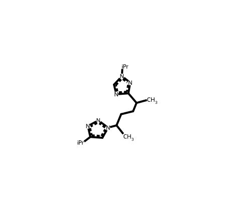 CC(C)c1cn(C(C)CCC(C)c2ncn(C(C)C)n2)nn1